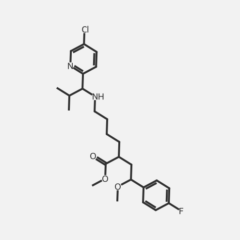 COC(=O)C(CCCCNC(c1ccc(Cl)cn1)C(C)C)CC(OC)c1ccc(F)cc1